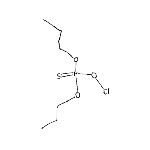 CCCOP(=S)(OCl)OCCC